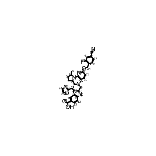 CC1CCC(CN(C)Cc2nc3ccc(C(=O)O)cc3n2Cc2ncco2)N1c1cccc(OCc2ccc(C#N)cc2F)n1